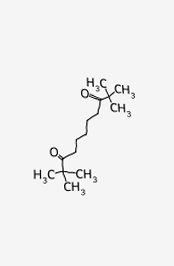 CC(C)(C)C(=O)CCCCCC(=O)C(C)(C)C